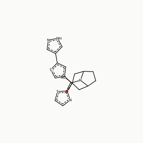 N#CC1(c2nccs2)CC2CCC(C1)N2C(=O)c1csc(-c2cn[nH]c2)c1